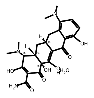 CN(C)c1ccc(O)c2c1C[C@H]1C[C@H]3[C@H](N(C)C)C(O)=C(C(N)=O)C(=O)[C@@]3(O)C(O)=C1C2=O.O